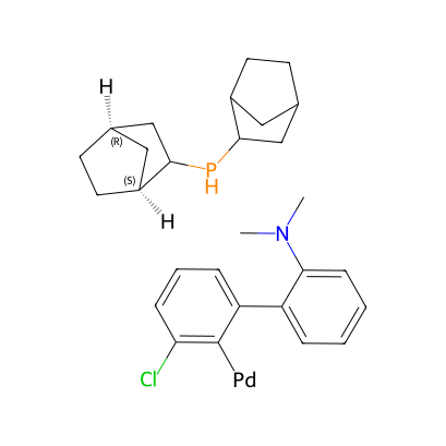 C1CC2CC1CC2PC1C[C@@H]2CC[C@H]1C2.CN(C)c1ccccc1-c1cccc(Cl)[c]1[Pd]